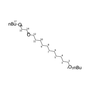 CCCCOCCCCCCCCCCCOCCOCCCC